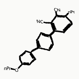 CCCOc1ccc(-c2ccc(-c3ccc(CCC)c(C#N)c3C#N)cc2)cc1